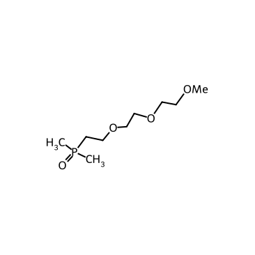 COCCOCCOCCP(C)(C)=O